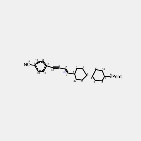 CCCCC[C@H]1CC[C@H](C2CCC(/C=C/C#Cc3ccc(C#N)cc3)CC2)CC1